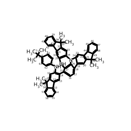 CC(C)(C)c1ccc(Nc2cc3c(cc2-c2ccc4c5cc6c(cc5n5c4c2Bc2cc4c(cc2-5)C(C)(C)c2ccccc2-4)-c2ccccc2C6(C)C)-c2ccccc2C3(C)C)cc1